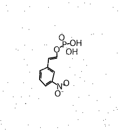 O=[N+]([O-])c1cccc(C=COP(=O)(O)O)c1